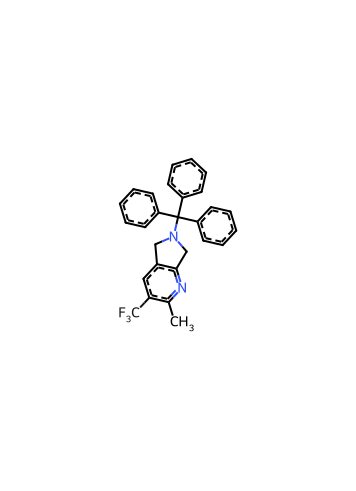 Cc1nc2c(cc1C(F)(F)F)CN(C(c1ccccc1)(c1ccccc1)c1ccccc1)C2